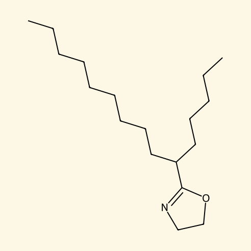 CCCCCCCCCC(CCCCC)C1=NCCO1